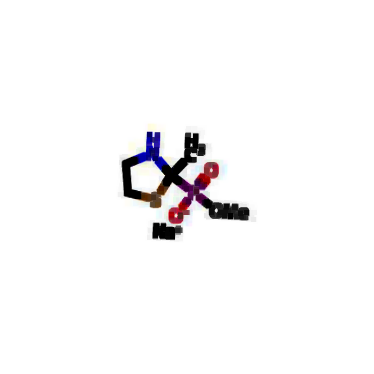 COP(=O)([O-])C1(C)NCCS1.[Na+]